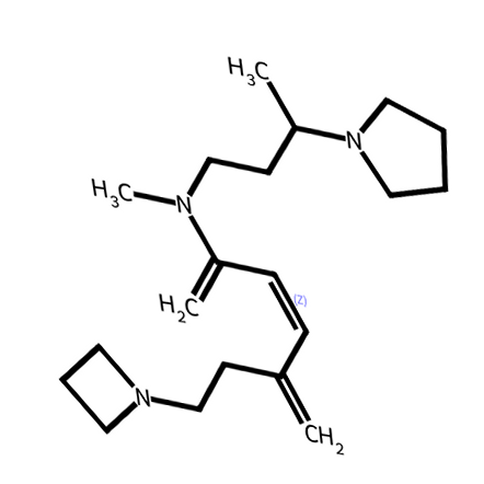 C=C(/C=C\C(=C)N(C)CCC(C)N1CCCC1)CCN1CCC1